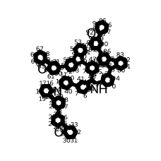 c1cc(-c2[nH]c3ccc(-c4cccc(-n5c6ccccc6c6cc(-c7ccc8oc9ccccc9c8c7)ccc65)c4)cc3c2-c2cccc(C3c4ccccc4-c4cc(-c5ccc6oc7ccccc7c6c5)ccc43)c2)cc(C2c3ccccc3-c3cc(-c4ccc5oc6ccccc6c5c4)ccc32)c1